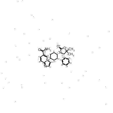 CC1(C)OC(=O)N([C@H]2CC[C@H]([N+]34C=CN=C3C=CC(C(N)=O)=C4)CC2)[C@H]1c1ccccc1